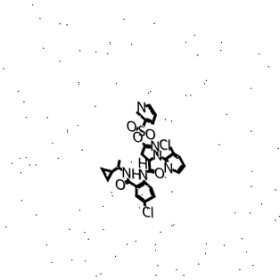 CC(NC(=O)c1cc(Cl)ccc1NC(=O)C1CC(OS(=O)(=O)c2cccnc2)=NN1c1ncccc1Cl)C1CC1